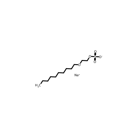 CCCCCCCCCCOCCOS(=O)(=O)[O-].[Na+]